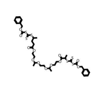 CC(OCCOC(=O)CCC(C)SC(=S)SC(=O)OCc1ccccc1)OCCOC(C)OCCOC(=O)C(C)SC(=S)SC(=O)OCc1ccccc1